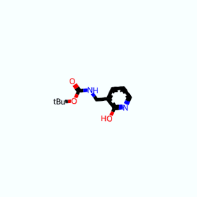 CC(C)(C)OC(=O)NCc1cccnc1O